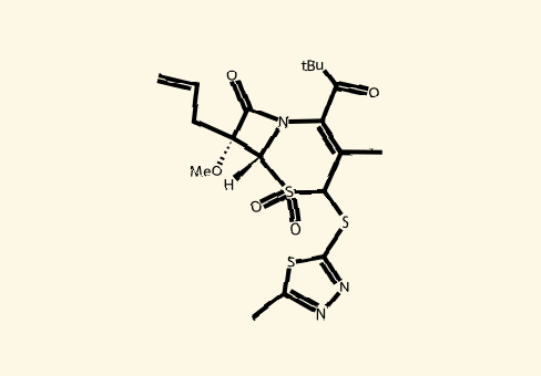 C=CC[C@@]1(OC)C(=O)N2C(C(=O)C(C)(C)C)=C(C)C(Sc3nnc(C)s3)S(=O)(=O)[C@@H]21